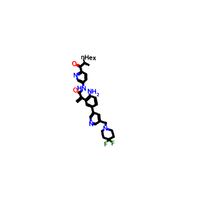 C=C(C(=O)Nc1ccc(C(=O)[C@H](C)CCCCCC)nc1)c1cc(-c2cncc(CN3CCC(F)(F)CC3)c2)ccc1N